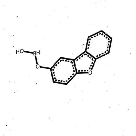 OBOc1ccc2oc3ccccc3c2c1